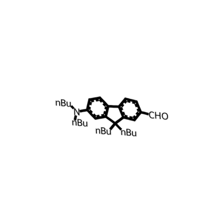 CCCCN(CCCC)c1ccc2c(c1)C(CCCC)(CCCC)c1cc(C=O)ccc1-2